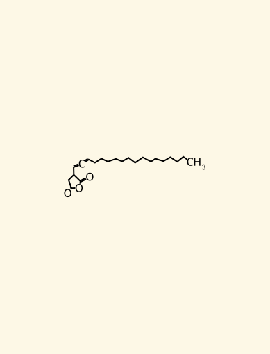 CCCCCCCCCCCCCCCC=C=CC1CC(=O)OC1=O